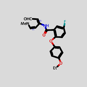 CCOc1ccc(Oc2ccc(F)cc2C(=O)NC(/C=C\NC)=C/C=O)cc1